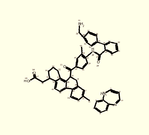 C1=CNc2ccccc2N=C1.Cc1ccc2c(c1)CC(C(=O)c1ccc(NC(=O)c3ccccc3-c3ccc(CN)cc3)c(C)c1)c1c-2ccc2c1CCCC2CC(=O)O